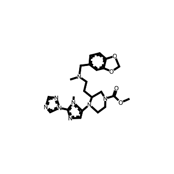 COC(=O)N1CCN(c2cnc(-n3cncn3)n2C)C(CCN(C)Cc2ccc3c(c2)OCO3)C1